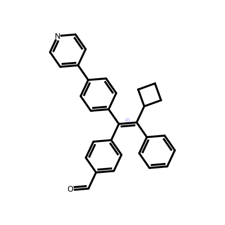 O=Cc1ccc(/C(=C(\c2ccccc2)C2CCC2)c2ccc(-c3ccncc3)cc2)cc1